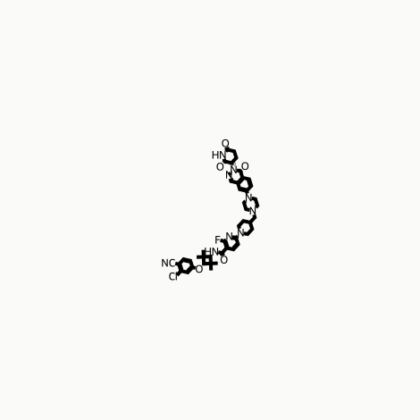 CC1(C)[C@H](NC(=O)c2ccc(N3CCC(CN4CCN(c5ccc6c(=O)n([C@H]7CCC(=O)NC7=O)ncc6c5)CC4)CC3)nc2F)C(C)(C)[C@H]1Oc1ccc(C#N)c(Cl)c1